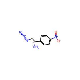 [N-]=[N+]=NC[C@@H](N)c1ccc([N+](=O)[O-])cc1